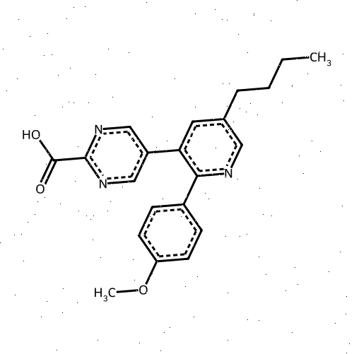 CCCCc1cnc(-c2ccc(OC)cc2)c(-c2cnc(C(=O)O)nc2)c1